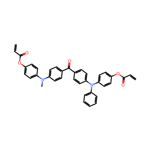 C=CC(=O)Oc1ccc(N(C)c2ccc(C(=O)c3ccc(N(c4ccccc4)c4ccc(OC(=O)C=C)cc4)cc3)cc2)cc1